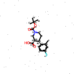 Cc1cc(F)ccc1[C@@H]1CCN(C(=O)OC(C)(C)C)C[C@@H]1C(=O)O